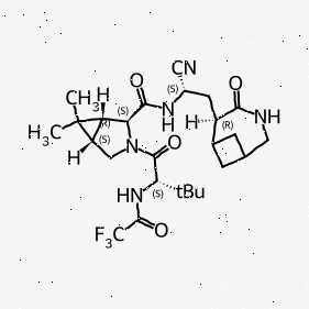 CC(C)(C)[C@H](NC(=O)C(F)(F)F)C(=O)N1C[C@H]2[C@@H]([C@H]1C(=O)N[C@H](C#N)C[C@H]1C(=O)NCC3CC1C3)C2(C)C